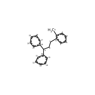 Cc1c[c]ccc1CCC(c1ccccc1)c1ccccc1